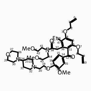 C=CCOc1cc(OCC=C)c(C(=O)c2ccc(OCCN3CCC(N4CCOCC4)CC3)c(OC)c2)c(CC(=O)N(CCOC)CCOC)c1CC